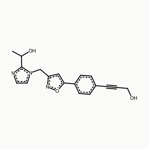 CC(O)c1nccn1Cc1cc(-c2ccc(C#CCO)cc2)on1